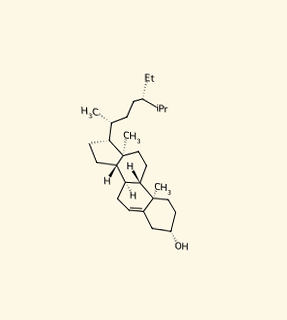 CC[C@@H](CC[C@@H](C)[C@H]1CC[C@H]2[C@@H]3CC=C4C[C@@H](O)CC[C@]4(C)[C@H]3CC[C@]12C)C(C)C